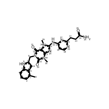 Cc1cccc2[nH]c(Cn3c(=O)c4c(nc(Nc5ccnc(CCC(N)=O)n5)n4C)n(C)c3=O)cc12